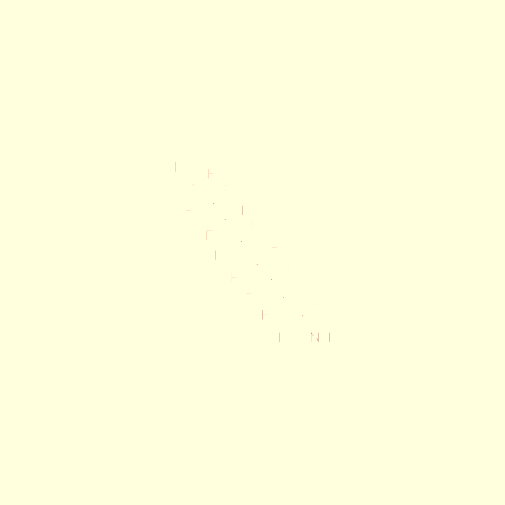 [NH]C(F)(F)C(F)(F)C(F)(F)C(F)(F)C(F)(F)C(F)(F)C(F)(F)C(F)(F)F